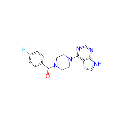 O=C(c1ccc(F)cc1)N1CCN(c2ncnc3[nH]ccc23)CC1